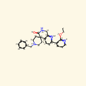 CCOc1ncccc1-c1ccc2c(n1)CNC(=O)C21CCN(Cc2ccccc2)CC1